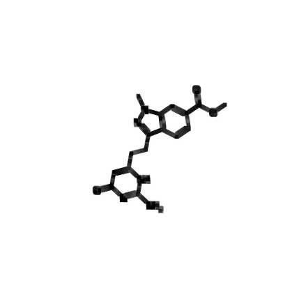 COC(=O)c1ccc2c(CCc3cc(=O)nc(N)[nH]3)nn(C)c2c1